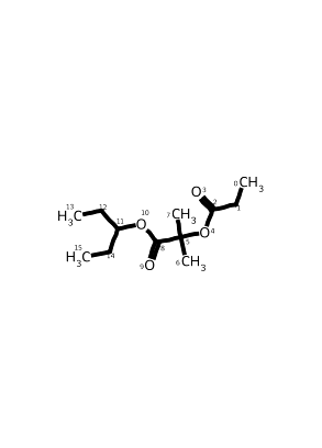 CCC(=O)OC(C)(C)C(=O)OC(CC)CC